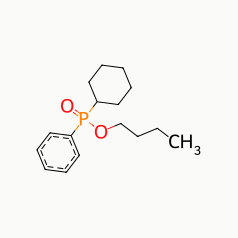 CCCCOP(=O)(c1ccccc1)C1CCCCC1